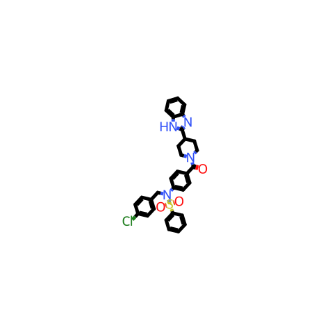 O=C(c1ccc(N(Cc2ccc(Cl)cc2)S(=O)(=O)c2ccccc2)cc1)N1CCC(c2nc3ccccc3[nH]2)CC1